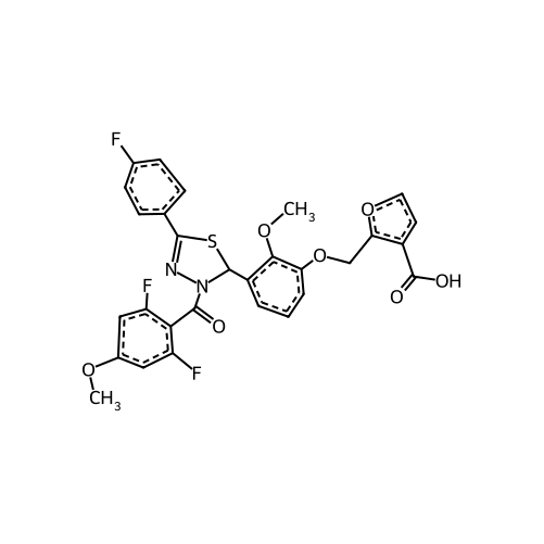 COc1cc(F)c(C(=O)N2N=C(c3ccc(F)cc3)SC2c2cccc(OCc3occc3C(=O)O)c2OC)c(F)c1